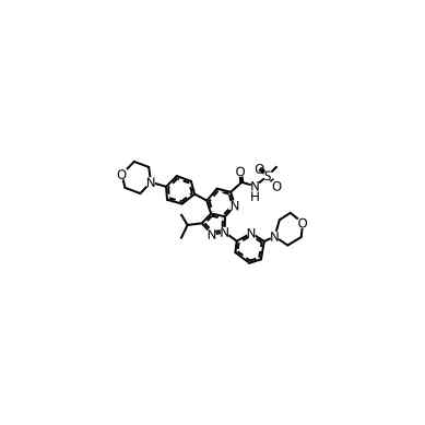 CC(C)c1nn(-c2cccc(N3CCOCC3)n2)c2nc(C(=O)NS(C)(=O)=O)cc(-c3ccc(N4CCOCC4)cc3)c12